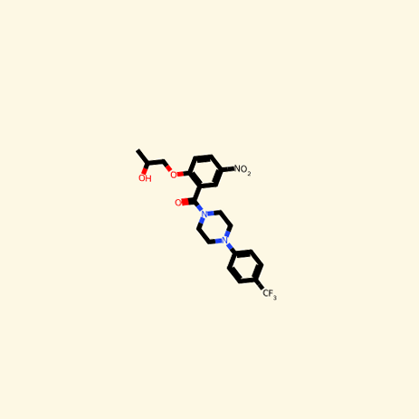 CC(O)COc1ccc([N+](=O)[O-])cc1C(=O)N1CCN(c2ccc(C(F)(F)F)cc2)CC1